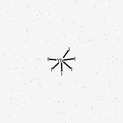 [I][Yb]([I])([I])([I])([I])[I]